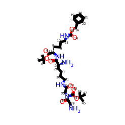 CC(C)(C)OC(=O)[C@H](CCCCNC(=O)OCc1ccccc1)NC(=O)[C@@H](N)CCCCNC(=O)CN(C(=O)CN)C(=O)OC(C)(C)C